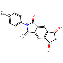 C=C1c2cc3c(cc2C(=O)N1c1ccc(CC)cc1)C(=O)CC3=O